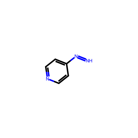 N=Nc1ccncc1